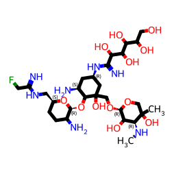 CN[C@@H]1C(O)[C@@H](OCC2(O)C[C@H](NC(=N)C(O)C(O)C(O)C(O)CO)C[C@H](N)C2O[C@H]2O[C@H](CNC(=N)CF)CCC2N)OCC1(C)O